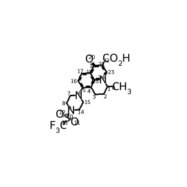 CC1CCc2c(N3CCN(S(=O)(=O)C(F)(F)F)CC3)ccc3c(=O)c(C(=O)O)cn1c23